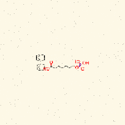 C1=CC2CCC1C2.C1=CC2CCC1C2.O=C(O)CCCCCCOP(=O)(O)O